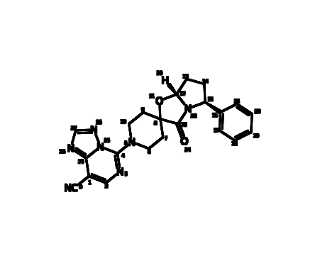 N#Cc1cnc(N2CCC3(CC2)O[C@@H]2CC[C@@H](c4ccccc4)N2C3=O)n2ncnc12